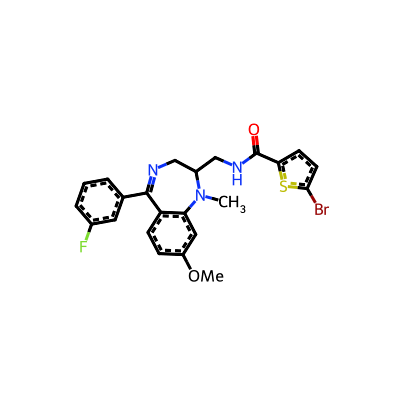 COc1ccc2c(c1)N(C)C(CNC(=O)c1ccc(Br)s1)CN=C2c1cccc(F)c1